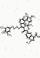 Cc1cc(OCCCc2c3n(c4c(-c5c(C)nn(C)c5C)c(Cl)ccc24)C(C)CN(c2ccc4c(c2)c(C(=O)O)nn4C)C3=O)cc(C)c1Cl